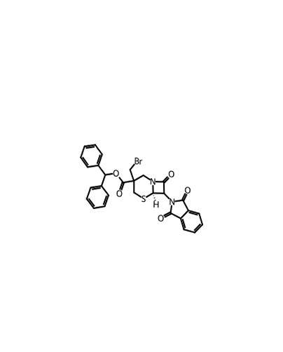 O=C1c2ccccc2C(=O)N1C1C(=O)N2CC(CBr)(C(=O)OC(c3ccccc3)c3ccccc3)CS[C@H]12